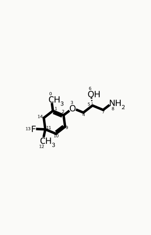 CC1=C(OC[C@H](O)CN)C=CC(C)(F)C1